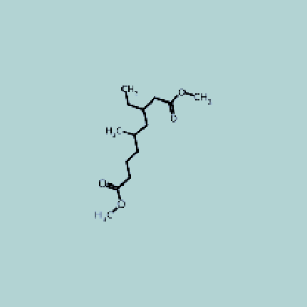 CCC(CC(=O)OC)CC(C)CCCC(=O)OC